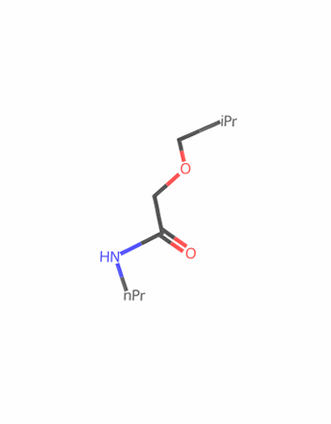 CCCNC(=O)COCC(C)C